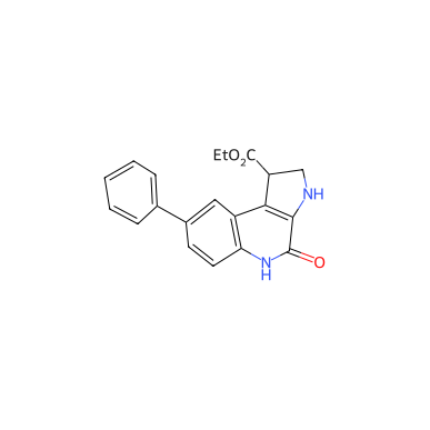 CCOC(=O)C1CNc2c1c1cc(-c3ccccc3)ccc1[nH]c2=O